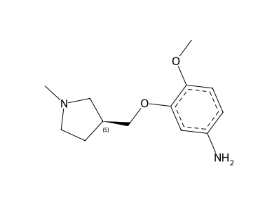 COc1ccc(N)cc1OC[C@H]1CCN(C)C1